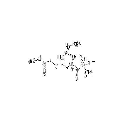 CC(C)(C)OC(=O)CC[C@@H](CNC(=O)C(C)(C)F)NC(=O)OC(C)(C)C